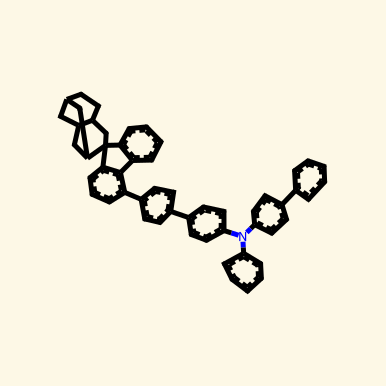 c1ccc(-c2ccc(N(c3ccccc3)c3ccc(-c4ccc(-c5cccc6c5-c5ccccc5C65CC6CCC7CC6CC5C7)cc4)cc3)cc2)cc1